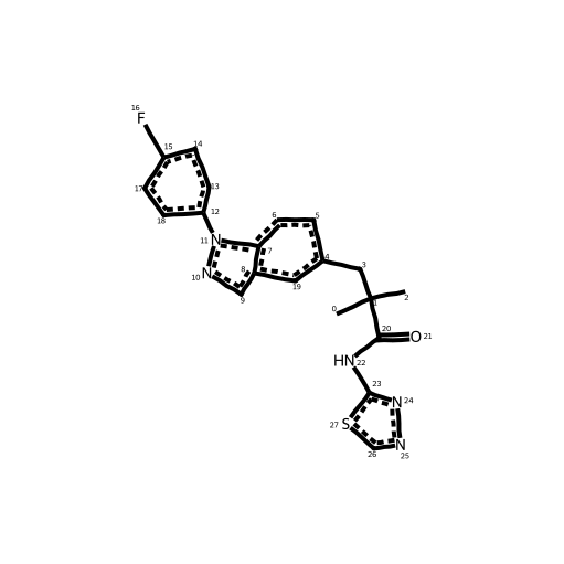 CC(C)(Cc1ccc2c(cnn2-c2ccc(F)cc2)c1)C(=O)Nc1nncs1